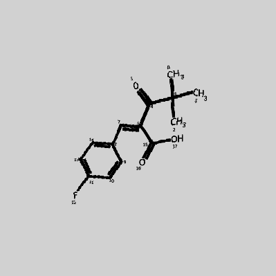 CC(C)(C)C(=O)C(=Cc1ccc(F)cc1)C(=O)O